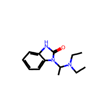 CCN(CC)C(C)n1c(=O)[nH]c2ccccc21